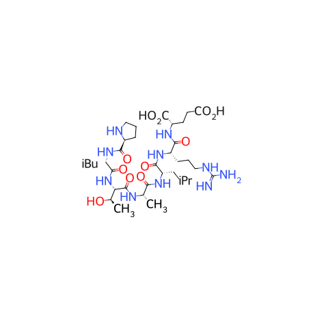 CC[C@H](C)[C@H](NC(=O)[C@@H]1CCCN1)C(=O)N[C@H](C(=O)N[C@@H](C)C(=O)N[C@@H](CC(C)C)C(=O)N[C@@H](CCCNC(=N)N)C(=O)N[C@@H](CCC(=O)O)C(=O)O)[C@@H](C)O